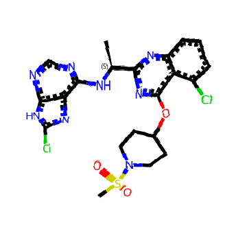 C[C@H](Nc1ncnc2[nH]c(Cl)nc12)c1nc(OC2CCN(S(C)(=O)=O)CC2)c2c(Cl)cccc2n1